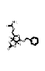 NC(=O)OCC1O[C@@H](OCc2ccccc2)[C@@H]2OC(=O)O[C@H]12